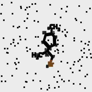 Cc1ccc([C@H](C)CBr)cc1